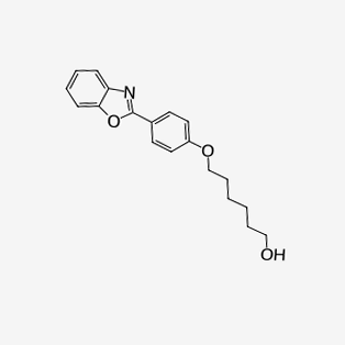 OCCCCCCOc1ccc(-c2nc3ccccc3o2)cc1